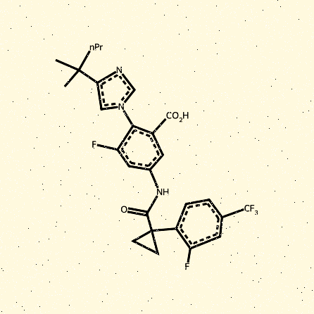 CCCC(C)(C)c1cn(-c2c(F)cc(NC(=O)C3(c4ccc(C(F)(F)F)cc4F)CC3)cc2C(=O)O)cn1